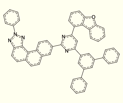 c1ccc(-c2cc(-c3ccccc3)cc(-c3cc(-c4cccc5oc6ccccc6c45)nc(-c4ccc5c(ccc6ccc7nn(-c8ccccc8)nc7c65)c4)n3)c2)cc1